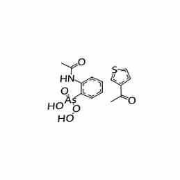 CC(=O)Nc1ccccc1[As](=O)(O)OO.CC(=O)c1ccsc1